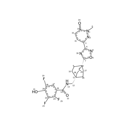 Cn1nc(-c2noc([C@]34CC[C@](CNC(=O)c5cc(F)c(O)c(F)c5F)(CC3)CC4)n2)ccc1=O